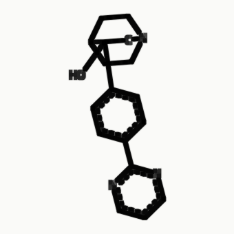 OC1(c2ccc(-c3ncccn3)cc2)CN2CCC1CC2